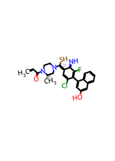 C=CC(=O)N1CCN(/C(S)=C2\C=C(Cl)C(c3cc(O)cc4ccccc34)=C(F)C2=N)C[C@@H]1C